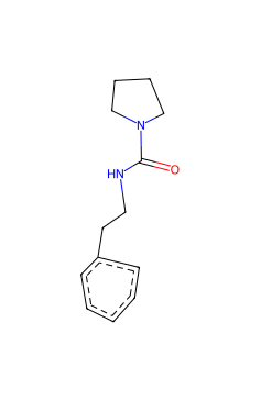 O=C(NCCc1ccccc1)N1CCCC1